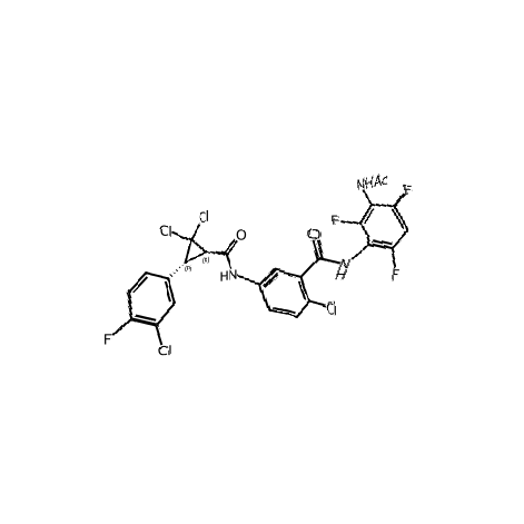 CC(=O)Nc1c(F)cc(F)c(NC(=O)c2cc(NC(=O)[C@H]3[C@H](c4ccc(F)c(Cl)c4)C3(Cl)Cl)ccc2Cl)c1F